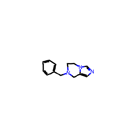 c1ccc(CN2CCn3cncc3C2)cc1